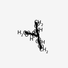 C=CC(=O)OCCNC(=O)OCCN(CCOC(=O)NCCOC(=O)C=C)CCOC(=O)NCCOC(=O)C=C